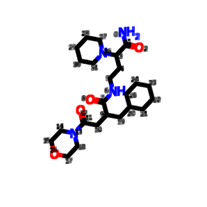 NC(=O)C(CCNC(=O)C(CC(=O)N1CCOCC1)CC1CCCCC1)N1CCCCC1